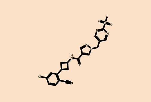 CS(=O)(=O)c1ncc(Cn2cc(C(=O)NC3CC(c4cc(Cl)ccc4C#N)C3)cn2)cn1